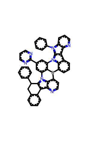 c1ccc(C2Cc3ccccc3-c3c2n2c4c(ccnc34)B3c4c-2cc(-c2ncccn2)cc4-n2c4c3cccc4c3c4ncccc4n(-c4ccccc4)c32)cc1